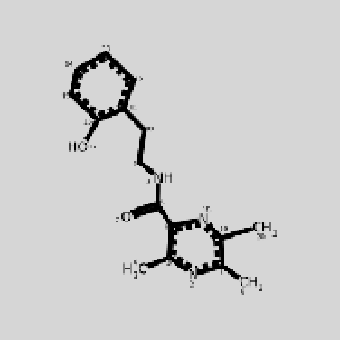 Cc1nc(C)c(C(=O)NCCc2ccccc2O)nc1C